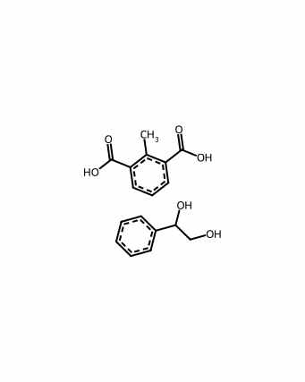 Cc1c(C(=O)O)cccc1C(=O)O.OCC(O)c1ccccc1